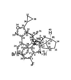 O[C@]1(c2nc3c(F)cc(Br)cc3s2)[C@@H]2CC[C@H]1C[C@@H](OCc1c(-c3ccccc3OC(F)F)noc1C1CC1)C2